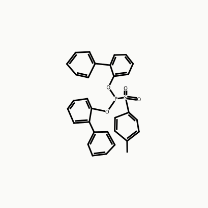 Cc1ccc(S(=O)(=O)P(Oc2ccccc2-c2ccccc2)Oc2ccccc2-c2ccccc2)cc1